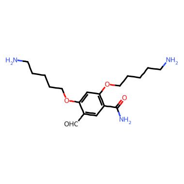 NCCCCCOc1cc(OCCCCCN)c(C(N)=O)cc1C=O